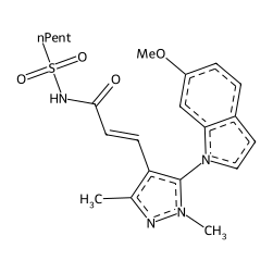 CCCCCS(=O)(=O)NC(=O)C=Cc1c(C)nn(C)c1-n1ccc2ccc(OC)cc21